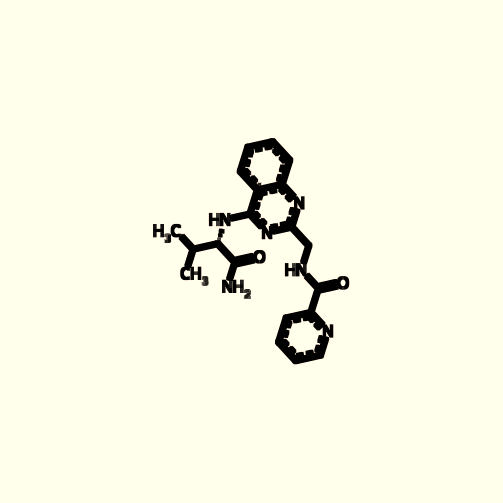 CC(C)[C@H](Nc1nc(CNC(=O)c2ccccn2)nc2ccccc12)C(N)=O